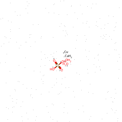 O.O.O=S(=O)(O)O.[CaH2].[Cu]